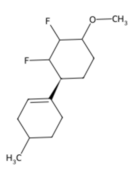 COC1CC[C@@H](C2=CCC(C)CC2)C(F)C1F